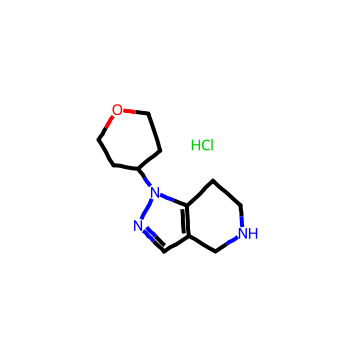 Cl.c1nn(C2CCOCC2)c2c1CNCC2